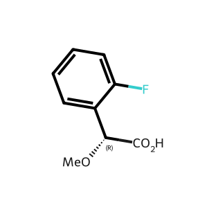 CO[C@@H](C(=O)O)c1ccccc1F